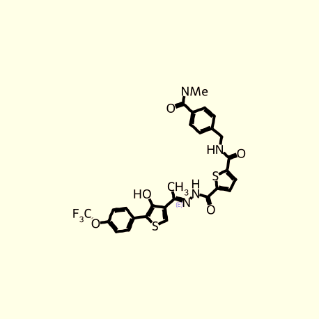 CNC(=O)c1ccc(CNC(=O)c2ccc(C(=O)N/N=C(\C)c3csc(-c4ccc(OC(F)(F)F)cc4)c3O)s2)cc1